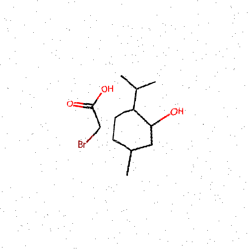 CC1CCC(C(C)C)C(O)C1.O=C(O)CBr